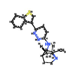 C[C@@H]1[C@@H](Nc2ccc(-c3csc4ccccc34)nn2)C2CCN1CC2